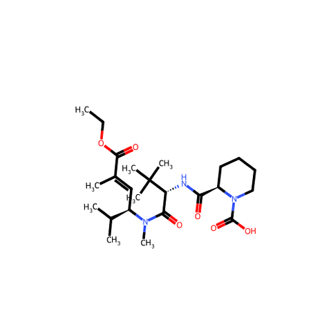 CCOC(=O)C(C)=C[C@H](C(C)C)N(C)C(=O)[C@@H](NC(=O)[C@H]1CCCCN1C(=O)O)C(C)(C)C